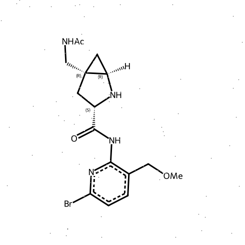 COCc1ccc(Br)nc1NC(=O)[C@@H]1C[C@@]2(CNC(C)=O)C[C@H]2N1